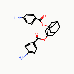 Nc1ccc(C(=O)OC23CC4CC(C2)CC(OC(=O)c2ccc(N)cc2)(C4)C3)cc1